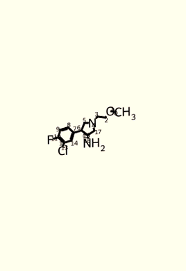 COCCN1CC(c2ccc(F)c(Cl)c2)[C@H](N)C1